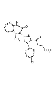 Cc1c(C2=NN(C(=O)CCC(=O)O)C(c3ccc(Cl)cc3)C2)c(=O)[nH]c2ccccc12